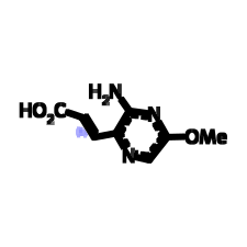 COc1cnc(/C=C/C(=O)O)c(N)n1